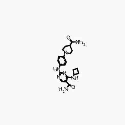 NC(=O)c1cnc(Nc2ccc(N3CCC(C(N)=O)CC3)cc2)nc1NC1CCC1